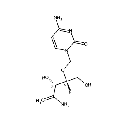 C=C(N)[C@H](O)[C@@](F)(CO)OCn1ccc(N)nc1=O